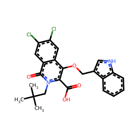 CC(C)(C)Cn1c(C(=O)O)c(OCc2c[nH]c3ccccc23)c2cc(Cl)c(Cl)cc2c1=O